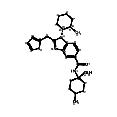 CC1CCC(NC(=O)c2ccc3c(c2)nc(Cc2cccs2)n3[C@@H]2CCCC[C@H]2C)(C(=O)O)CC1